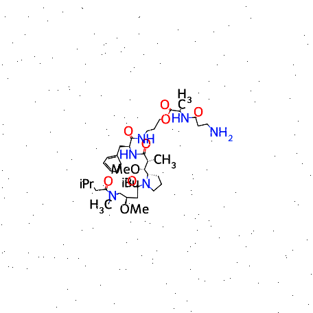 CC[C@H](C)[C@@H]([C@@H](CC(=O)N1CCC[C@H]1[C@H](OC)[C@@H](C)C(=O)N[C@@H](Cc1ccccc1)C(=O)NCCCOC(=O)[C@H](C)NC(=O)CCN)OC)N(C)C(=O)CC(C)C